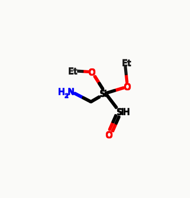 CCO[Si](CN)(OCC)[SiH]=O